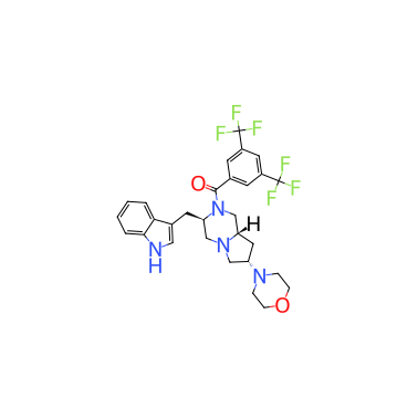 O=C(c1cc(C(F)(F)F)cc(C(F)(F)F)c1)N1C[C@@H]2C[C@H](N3CCOCC3)CN2C[C@H]1Cc1c[nH]c2ccccc12